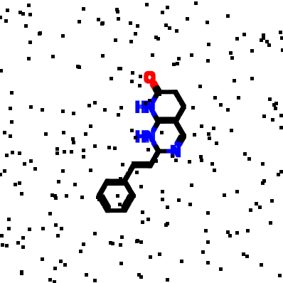 O=C1CCC2=C(N1)NC(C=Cc1ccccc1)N=C2